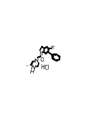 C[C@@H]1CN(CC(=O)N2CCc3cc(F)c(-c4ccccc4)cc32)CCN1.Cl